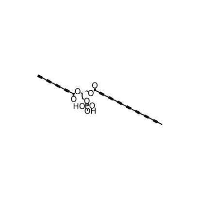 C#CC#CC#CC#CC(=O)O[C@H](COC(=O)C#CC#CC#CC#CC#CC#CC#CC)COP(=O)(O)O